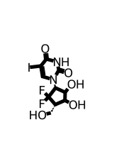 O=c1[nH]c(=O)n([C@@H]2C(O)C(O)[C@H](CO)C2(F)F)cc1I